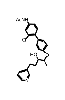 CC(=O)Nc1ccc(-c2ccc(O[C@@H](C)[C@H](O)CCc3cccnc3)cc2)c(Cl)c1